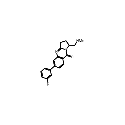 CNCC1CCc2nc3cc(-c4cccc(F)c4)ccc3c(=O)n21